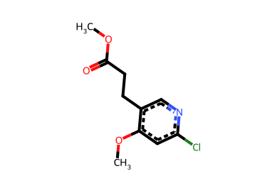 COC(=O)CCc1cnc(Cl)cc1OC